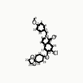 COc1ccc(Cn2ccc3cc(OC4CCC5(CC4)OCCO5)c(Cl)cc3c2=O)cc1